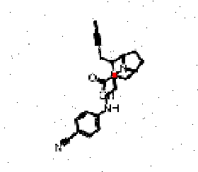 CC#CCC1C2CCC(CN1C(=O)O)N2CCCNc1ccc(C#N)cc1